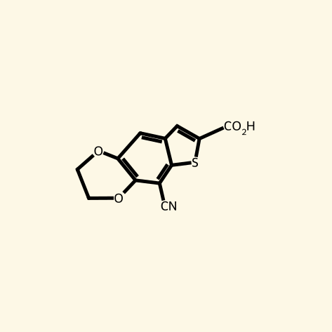 N#Cc1c2c(cc3cc(C(=O)O)sc13)OCCO2